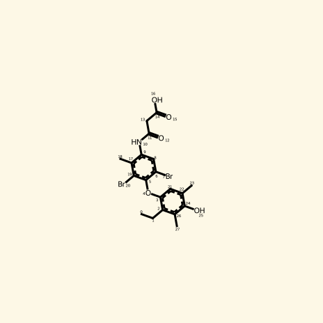 CCc1c(Oc2c(Br)cc(NC(=O)CC(=O)O)c(C)c2Br)cc(C)c(O)c1C